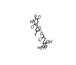 O=C(CCP(=O)(O)O)COC[C@H]1O[C@@H](n2cc(Cl)c(=O)[nH]c2=O)C[C@@H]1F